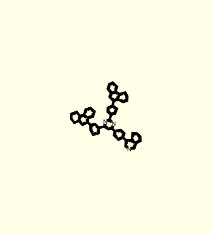 C1=Cc2c(cc(-c3cccc(-c4cc(-c5ccc(-c6cncc7ccccc67)cc5)nc(-c5ccc(-c6cc7ccccc7c7ccccc67)cc5)n4)c3)c3ccccc23)CC1